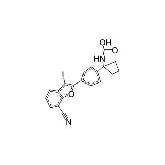 N#Cc1cccc2c(I)c(-c3ccc(C4(NC(=O)O)CCC4)cc3)oc12